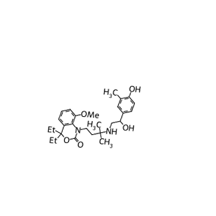 CCC1(CC)OC(=O)N(CCC(C)(C)NCC(O)c2ccc(O)c(C)c2)c2c(OC)cccc21